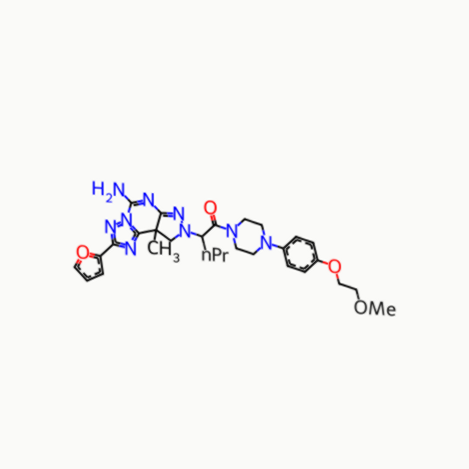 CCCC(C(=O)N1CCN(c2ccc(OCCOC)cc2)CC1)N1CC2(C)C(=N1)N=C(N)n1nc(-c3ccco3)nc12